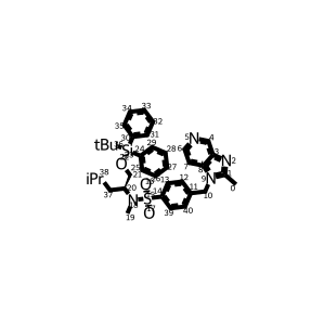 Cc1nc2cnccc2n1Cc1ccc(S(=O)(=O)N(C)[C@H](CO[Si](c2ccccc2)(c2ccccc2)C(C)(C)C)CC(C)C)cc1